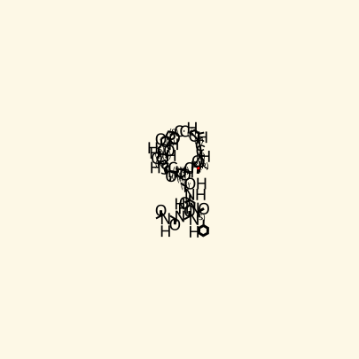 C=S=C1C[C@H]2CC[C@@H]3OC4C5OC6C[C@@](CC[C@H]7CC(C)[C@H](CC[C@H]8C[C@@H](C)C(=C)[C@@H](C[C@@H]9O[C@H](C[C@H](O)CNC(=O)CNC(=O)[C@H](Cc%10ccccc%10)NC(=O)CNC(=O)CNC(C)=O)[C@H](OC)[C@H]9C1)O8)O7)(O[C@@H]64)O[C@H]5[C@H]3O2